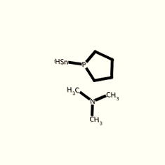 CN(C)C.[SnH][P]1CCCC1